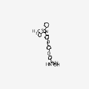 CC1CCCC1c1sc(C2CCCCC2)nc1-c1ccc(OCc2ccc(COc3ccc(C(=N)NO)cc3)cc2)cc1